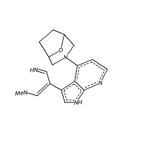 CN/C=C(\C=N)c1c[nH]c2nccc(N3CC4CCC(C3)O4)c12